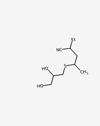 CCC(C#N)CC(C)SCC(O)CO